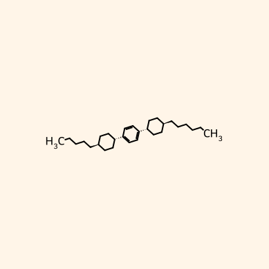 CCCCCC[C@H]1CC[C@H](c2ccc([C@H]3CC[C@H](CCCCC)CC3)cc2)CC1